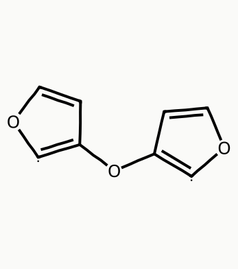 [c]1occc1Oc1[c]occ1